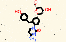 Nc1ccn(-c2ccc([C@H]3C[C@@H](O)C[C@@H](CO)O3)cc2Cc2ccc(O)cc2)c(=O)n1